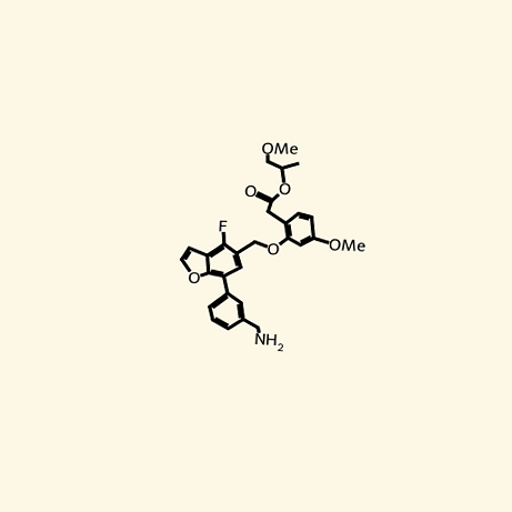 COCC(C)OC(=O)Cc1ccc(OC)cc1OCc1cc(-c2cccc(CN)c2)c2occc2c1F